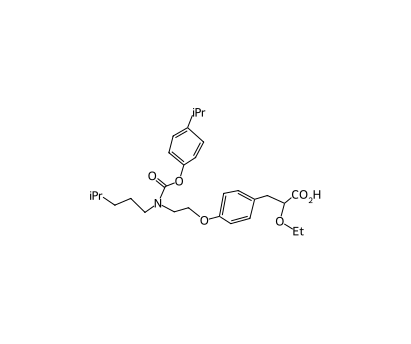 CCOC(Cc1ccc(OCCN(CCCC(C)C)C(=O)Oc2ccc(C(C)C)cc2)cc1)C(=O)O